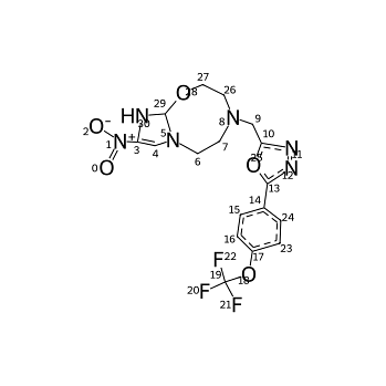 O=[N+]([O-])C1=CN2CCN(Cc3nnc(-c4ccc(OC(F)(F)F)cc4)o3)CCOC2N1